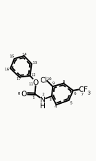 O=C(Nc1ccc(C(F)(F)F)cc1Cl)Oc1ccccc1